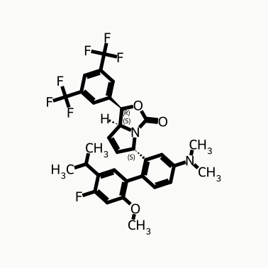 COc1cc(F)c(C(C)C)cc1-c1ccc(N(C)C)cc1[C@@H]1C=C[C@H]2[C@@H](c3cc(C(F)(F)F)cc(C(F)(F)F)c3)OC(=O)N12